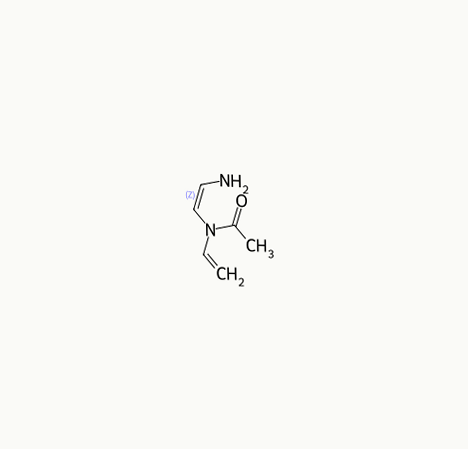 C=CN(/C=C\N)C(C)=O